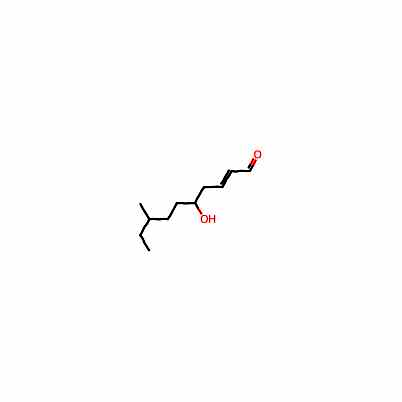 CCC(C)CCC(O)CC=CC=O